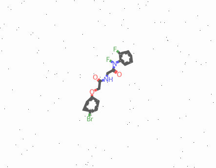 O=C(COc1ccc(Br)cc1)NCC(=O)N(F)c1ccccc1F